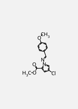 COC(=O)c1cc(Cl)cn1N=Cc1ccc(OC)cc1